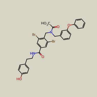 O=C(O)C(=O)N(Cc1cccc(Oc2ccccc2)c1)Cc1c(Br)cc(C(=O)NCCc2ccc(O)cc2)cc1Br